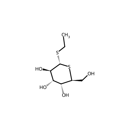 CCS[C@@H]1S[C@@H](CO)[C@H](O)[C@H](O)[C@H]1O